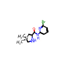 C[Si]1(C)CNC(C(=O)Nc2cccc(Br)n2)C1